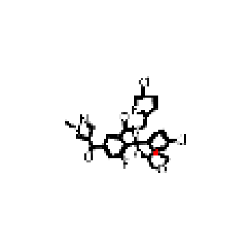 Cn1cc(C(=O)c2cc(F)c3c(c2)C(=O)N(Cc2ccc(Cl)cn2)C3(OC2CCOC2)c2ccc(Cl)cc2)cn1